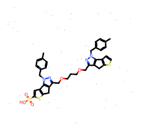 Cc1ccc(Cn2nc(COCCCOCc3nn(Cc4ccc(C)cc4)c4c3Cc3sc(S(=O)(=O)O)cc3-4)c3c2-c2ccsc2C3)cc1